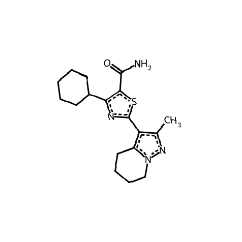 Cc1nn2c(c1-c1nc(C3CCCCC3)c(C(N)=O)s1)CCCC2